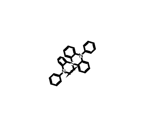 c1ccc(N2c3ccccc3S3(c4ccccc42)c2ccccc2N(c2ccccc2)c2ccccc23)cc1